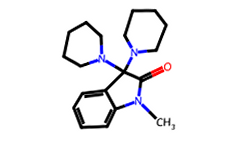 CN1C(=O)C(N2CCCCC2)(N2CCCCC2)c2ccccc21